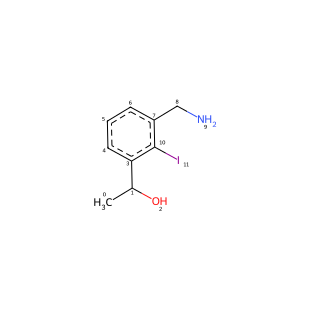 CC(O)c1cccc(CN)c1I